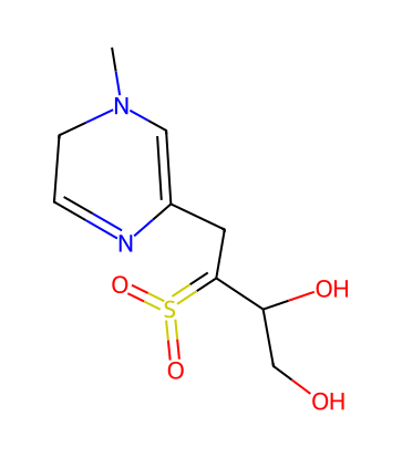 CN1C=C(CC(C(O)CO)=S(=O)=O)N=CC1